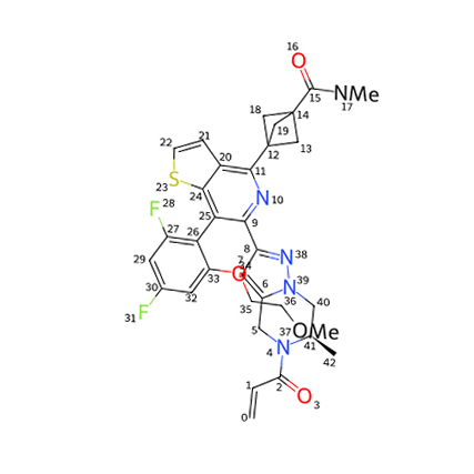 C=CC(=O)N1Cc2cc(-c3nc(C45CC(C(=O)NC)(C4)C5)c4ccsc4c3-c3c(F)cc(F)cc3OCCOC)nn2C[C@H]1C